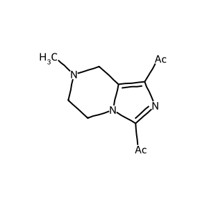 CC(=O)c1nc(C(C)=O)n2c1CN(C)CC2